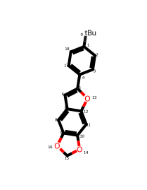 CC(C)(C)c1ccc(-c2cc3cc4c(cc3o2)OCO4)cc1